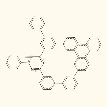 C#C/C(=C\C(=N/C(=C)c1ccccc1)c1cccc(-c2cccc(-c3ccc4c5ccccc5c5ccccc5c4c3)c2)c1)c1cccc(-c2ccccc2)c1